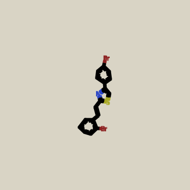 Brc1ccc(-c2csc(/C=C/c3ccccc3Br)n2)cc1